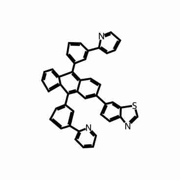 c1ccc(-c2cccc(-c3c4ccccc4c(-c4cccc(-c5ccccn5)c4)c4cc(-c5ccc6ncsc6c5)ccc34)c2)nc1